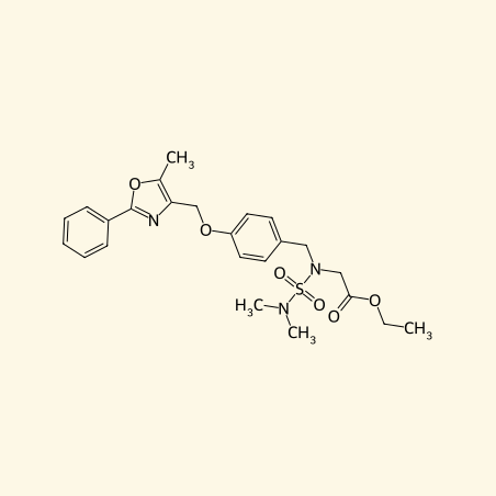 CCOC(=O)CN(Cc1ccc(OCc2nc(-c3ccccc3)oc2C)cc1)S(=O)(=O)N(C)C